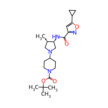 C[C@@H]1CN(C2CCN(C(=O)OC(C)(C)C)CC2)C[C@@H]1NC(=O)c1cc(C2CC2)on1